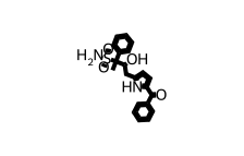 CC(c1ccccc1)(C(O)Cc1ccc(C(=O)c2ccccc2)[nH]1)S(N)(=O)=O